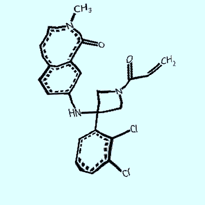 C=CC(=O)N1CC(Nc2ccc3ccn(C)c(=O)c3c2)(c2cccc(Cl)c2Cl)C1